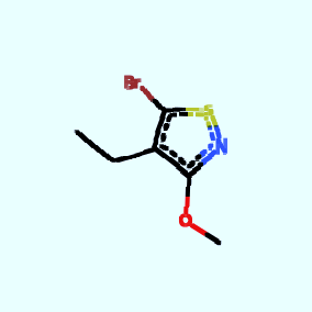 CCc1c(OC)nsc1Br